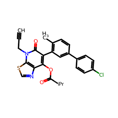 C#CCn1c(=O)c(-c2cc(-c3ccc(Cl)cc3)ccc2C)c(OC(=O)C(C)C)c2ncsc21